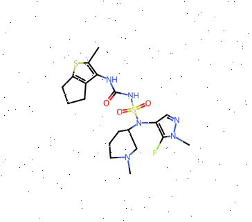 Cc1sc2c(c1NC(=O)NS(=O)(=O)N(c1cnn(C)c1F)C1CCCN(C)C1)CCC2